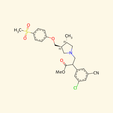 COC(=O)C(CN1C[C@@H](COc2ccc(S(C)(=O)=O)cc2)[C@H](C)C1)c1cc(Cl)cc(C#N)c1